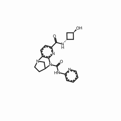 O=C(N[C@H]1C[C@H](O)C1)c1ccc2c(n1)N(C(=O)Nc1ccccn1)C1CCN2C1